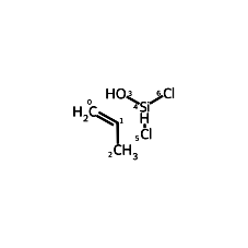 C=CC.O[SiH](Cl)Cl